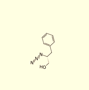 [N-]=[N+]=N[C@@H](CO)Cc1ccccc1